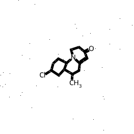 CC1CC2=CC(=O)CCN2C2CCC(Cl)CC12